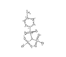 CCS(=O)(=O)C(S(=O)(=O)CC)S(=O)(=O)c1ccc(C)cc1